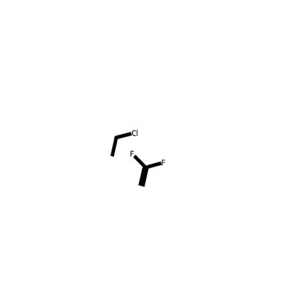 C=C(F)F.CCCl